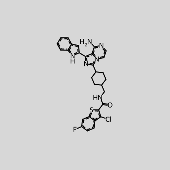 Nc1nccn2c(C3CCC(CNC(=O)c4sc5cc(F)ccc5c4Cl)CC3)nc(-c3cc4ccccc4[nH]3)c12